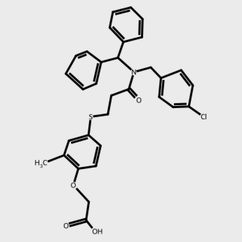 Cc1cc(SCCC(=O)N(Cc2ccc(Cl)cc2)C(c2ccccc2)c2ccccc2)ccc1OCC(=O)O